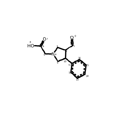 O=CC1CN(CC(=O)O)CC1c1ccccc1